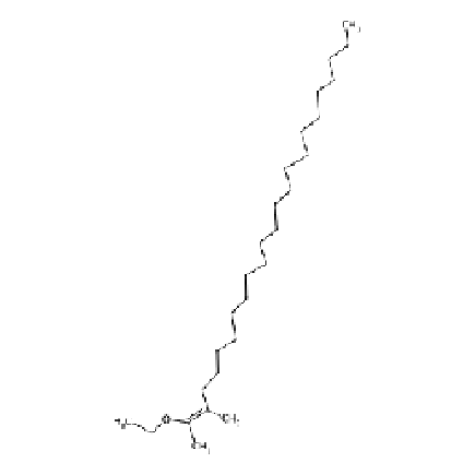 CCCCCCCCCCCCCCCCCCCCC/C(C)=C(/C)OCC